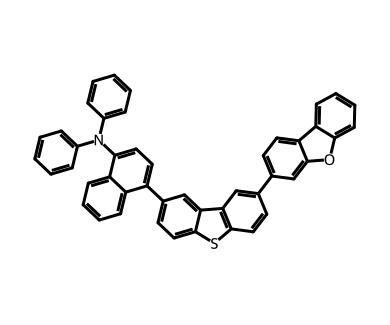 c1ccc(N(c2ccccc2)c2ccc(-c3ccc4sc5ccc(-c6ccc7c(c6)oc6ccccc67)cc5c4c3)c3ccccc23)cc1